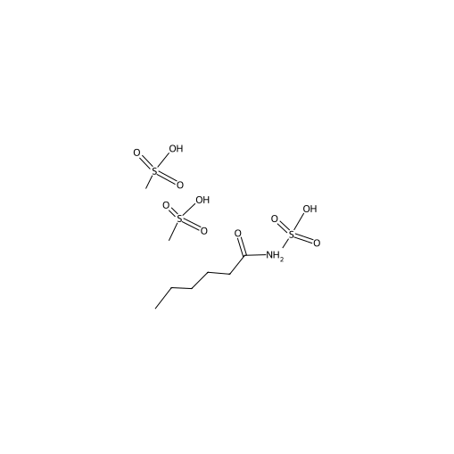 CCCCCC(N)=O.CS(=O)(=O)O.CS(=O)(=O)O.CS(=O)(=O)O